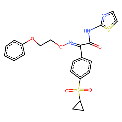 O=C(Nc1nccs1)/C(=N/OCCOc1ccccc1)c1ccc(S(=O)(=O)C2CC2)cc1